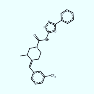 CC1CN(C(=O)Nc2nnc(-c3ccccc3)o2)CCC1=Cc1cccc(C(F)(F)F)c1